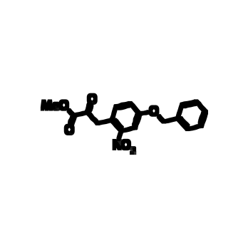 COC(=O)C(=O)Cc1ccc(OCc2ccccc2)cc1[N+](=O)[O-]